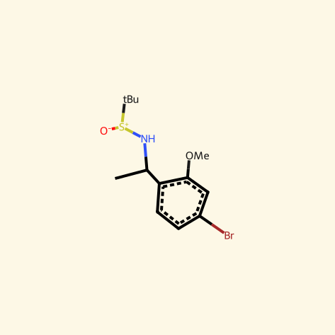 COc1cc(Br)ccc1C(C)N[S+]([O-])C(C)(C)C